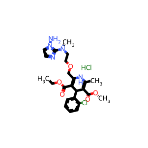 CCOC(=O)C1=C(COCCN(C)c2nccn2N)NC(C)=C(C(=O)OC)C1c1ccccc1Cl.Cl